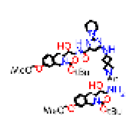 COCOc1ccc2c(c1)CN(C(=O)OC(C)(C)C)[C@H]([C@H](O)CN)C2.COCOc1ccc2c(c1)CN(C(=O)OC(C)(C)C)[C@H]([C@H](O)CNC(=O)c1cc(NC3CC4(C3)CN(C(C)=O)C4)nc(N3CCCCC3)n1)C2